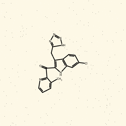 Cc1cccnc1C(=O)c1[nH]c2cc(Cl)ccc2c1Cc1nnn[nH]1